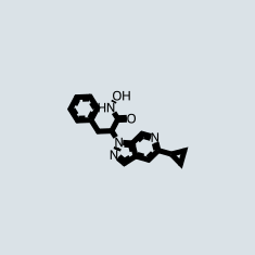 O=C(NO)C(Cc1ccccc1)n1ncc2cc(C3CC3)ncc21